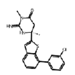 CN1C(=N)N[C@](C)(c2cc3cccc(-c4cccc(Cl)c4)c3s2)CC1=O